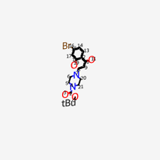 CC(C)(C)OC(=O)N1CCN(c2cc(=O)c3ccc(Br)cc3o2)CC1